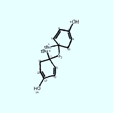 CC(C)(C)C1(SC2(C(C)(C)C)C=CC(O)=CC2)C=CC(O)=CC1